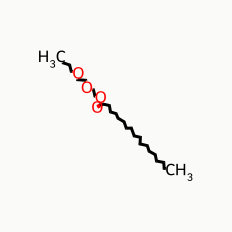 CCCCCCCCCCCCCCCCCC(=O)OCCOCCOCCCC